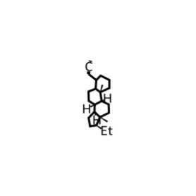 C=C=CC1CCC[C@@]2(C)C1CC[C@H]1[C@@H]3CC[C@H](CC)[C@@]3(C)CC[C@@H]12